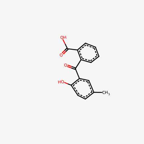 Cc1ccc(O)c(C(=O)c2ccccc2C(=O)O)c1